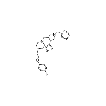 Fc1ccc(OCCC2CCN(CC3CN(Cc4ccccc4)CC3c3ccsc3)CC2)cc1